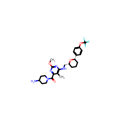 COc1nc(NC[C@H]2CCC[C@@H](c3ccc(OC(F)(F)F)cc3)O2)c(C)c(C(=O)N2CCC(N)CC2)n1